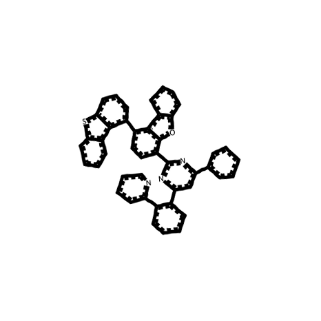 c1ccc(-c2cc(-c3ccccc3-c3ccccn3)nc(-c3ccc(-c4cccc5sc6ccccc6c45)c4c3oc3ccccc34)n2)cc1